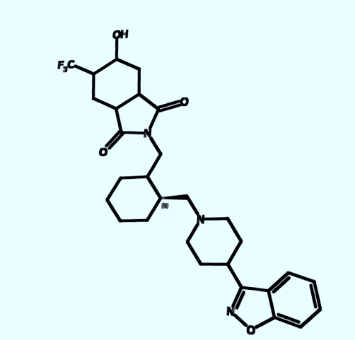 O=C1C2CC(O)C(C(F)(F)F)CC2C(=O)N1CC1CCCC[C@@H]1CN1CCC(c2noc3ccccc23)CC1